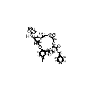 CN1CC(=O)N2C[C@H](NC(=O)OC(C)(C)C)C[C@H]2COc2ccc(F)cc2C(=O)N(C)[C@H](C(=O)NCc2ccncc2)CCC1=O